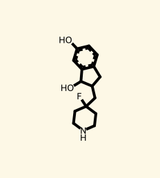 Oc1ccc2c(c1)C(O)C(CC1(F)CCNCC1)C2